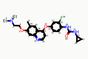 CCN(CC)CCOc1cc2nccc(Oc3ccc(NC(=O)NC4CC4)c(F)c3)c2cc1C